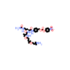 CC(C)C(NC(=O)CCC(C)(C)OCCC(C)(C)N)C(=O)N[C@@H](CCCNC(N)=O)C(=O)Nc1ccc(COC(=O)Oc2ccc([N+](=O)[O-])cc2)cc1